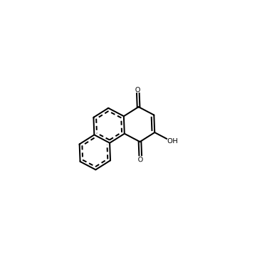 O=C1C=C(O)C(=O)c2c1ccc1ccccc21